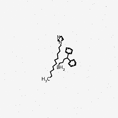 BCCCC(c1ccccc1)c1ccccc1.CCCCCCCCCCCCn1ccnc1